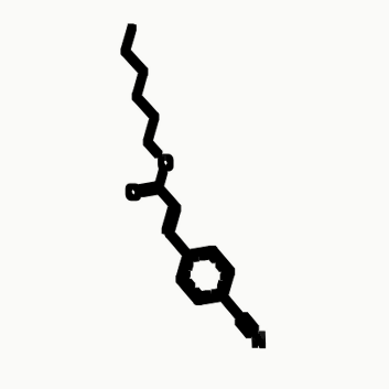 CCCCCCOC(=O)C=Cc1ccc(C#N)cc1